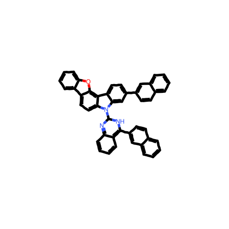 c1ccc2c(c1)=NC(n1c3cc(-c4ccc5ccccc5c4)ccc3c3c4oc5ccccc5c4ccc31)NC=2c1ccc2ccccc2c1